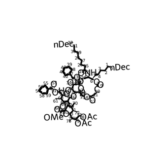 CCCCCCCCCCCCC/C=C/[C@H]1OC(=O)CCC(=O)OC[C@@H]2O[C@@H](OC[C@@H]1NC(=O)CCCCCCCCCCCCCCCCC)C(OC(=O)c1ccccc1)C(O)[C@@H]2O[C@@H]1OC(COC(=O)c2ccccc2)[C@H](C)[C@H](O[C@]2(C(=O)OC)CC(C)[C@@H](C)[C@H]([C@H](C)[C@@H](COC(C)=O)OC(C)=O)O2)C1C